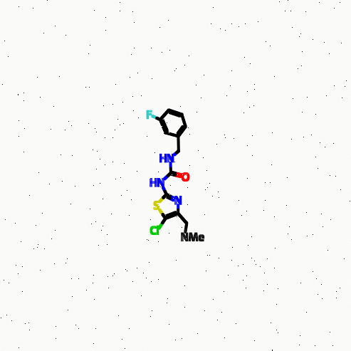 CNCc1nc(NC(=O)NCc2cccc(F)c2)sc1Cl